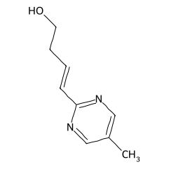 Cc1cnc(/C=C/CCO)nc1